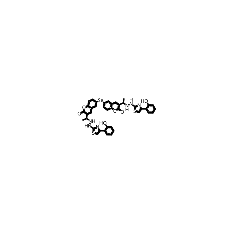 CC(NNc1nc(-c2ccccc2O)cs1)c1cc2cc([Se]c3ccc4oc(=O)c(C(C)NNc5nc(-c6ccccc6O)cs5)cc4c3)ccc2oc1=O